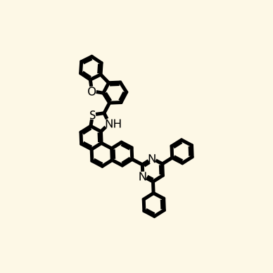 C1=CCC(c2cc(-c3ccccc3)nc(-c3ccc4c(ccc5ccc6c(c54)NC(c4cccc5c4oc4ccccc45)S6)c3)n2)C=C1